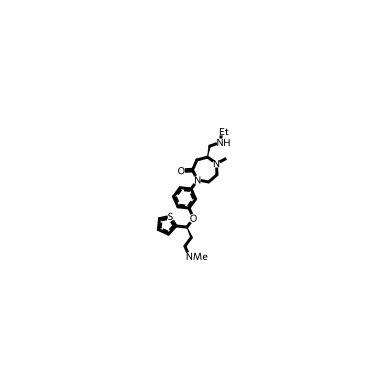 CCNC[C@@H]1CC(=O)N(c2cccc(O[C@@H](CCNC)c3cccs3)c2)CCN1C